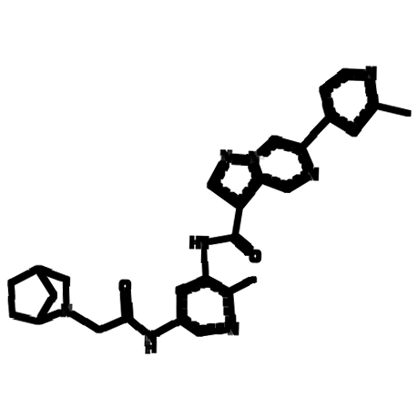 Cc1cc(-c2cn3ncc(C(=O)Nc4cc(NC(=O)CN5CC6CCC5C6)cnc4C)c3cn2)ccn1